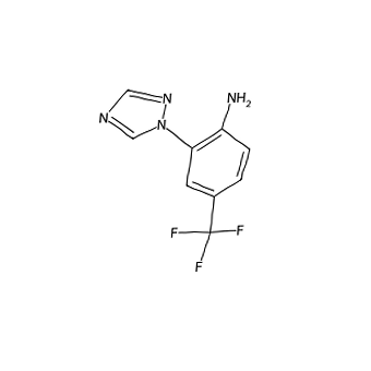 Nc1ccc(C(F)(F)F)cc1-n1cncn1